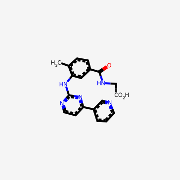 Cc1ccc(C(=O)NCC(=O)O)cc1Nc1nccc(-c2cccnc2)n1